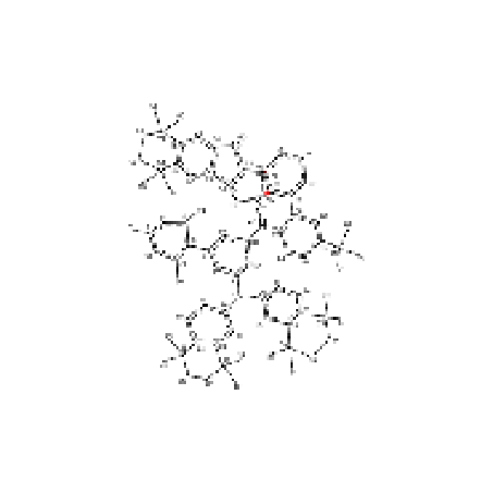 Cc1cc(C)c(-c2cc(N(c3ccc4c(c3)C(C)(C)CCC4(C)C)c3ccc4c(c3)C(C)(C)CCC4(C)C)cc(N(c3ccc4oc5cc6c(cc5c4c3)C(C)(C)CCC6(C)C)c3ccc(C(C)(C)C)cc3-c3ccccc3)c2)c(C)c1